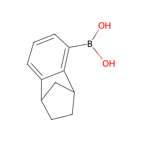 OB(O)c1cccc2c1C1CCC2C1